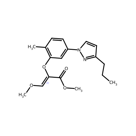 CCCc1ccn(-c2ccc(C)c(O/C(=C\OC)C(=O)OC)c2)n1